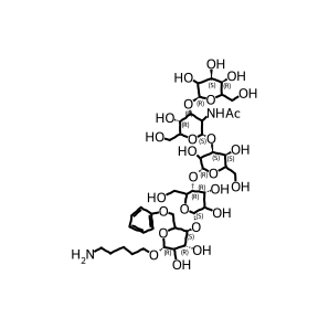 CC(=O)NC1[C@H](O[C@@H]2C(O)[C@@H](O[C@H]3C(CO)O[C@@H](O[C@@H]4C(COc5ccccc5)O[C@@H](OCCCCCN)C(O)[C@H]4O)C(O)[C@H]3O)OC(CO)[C@@H]2O)OC(CO)[C@H](O)[C@@H]1O[C@@H]1OC(CO)[C@H](O)[C@H](O)C1O